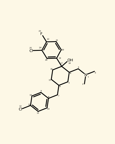 CN(C)CC1CC(Cc2ccc(Cl)cc2)CCC1(O)c1ccc(F)c(Cl)c1